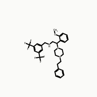 COc1ccccc1C(CNCc1cc(C(F)(F)F)cc(C(F)(F)F)c1)N1CCN(CCc2ccccc2)CC1